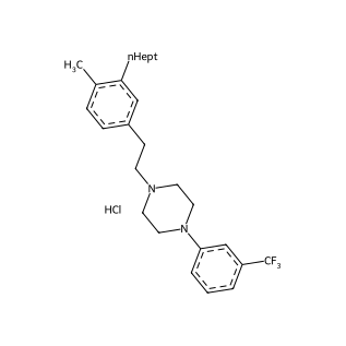 CCCCCCCc1cc(CCN2CCN(c3cccc(C(F)(F)F)c3)CC2)ccc1C.Cl